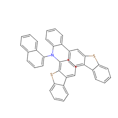 c1ccc(N(c2cccc3ccccc23)c2cccc3c2sc2ccccc23)c(-c2ccc3c(c2)sc2ccccc23)c1